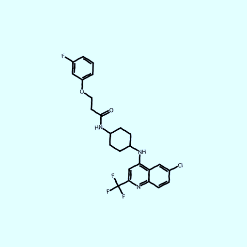 O=C(CCOc1cccc(F)c1)NC1CCC(Nc2cc(C(F)(F)F)nc3ccc(Cl)cc23)CC1